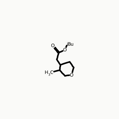 CCC(C)OC(=O)CC1CCOCC1C